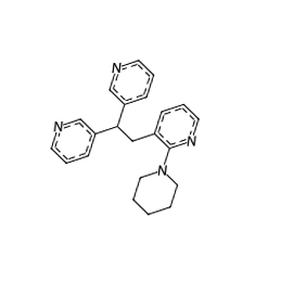 c1cncc(C(Cc2cccnc2N2CCCCC2)c2cccnc2)c1